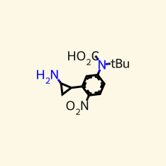 CC(C)(C)N(C(=O)O)c1ccc([N+](=O)[O-])c(C2CC2N)c1